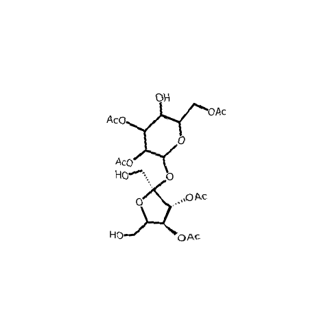 CC(=O)OCC1OC(O[C@]2(CO)OC(CO)[C@H](OC(C)=O)[C@H]2OC(C)=O)C(OC(C)=O)C(OC(C)=O)C1O